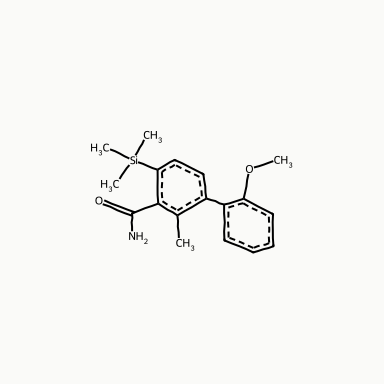 COc1ccccc1-c1ccc([Si](C)(C)C)c(C(N)=O)c1C